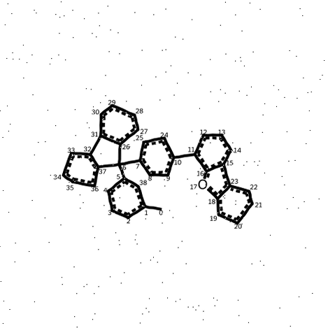 Cc1cccc(C2(c3ccc(-c4cccc5c4oc4ccccc45)cc3)c3ccccc3-c3ccccc32)c1